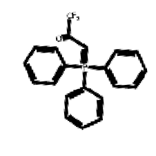 O=C(C=P(c1ccccc1)(c1ccccc1)c1ccccc1)C(F)(F)F